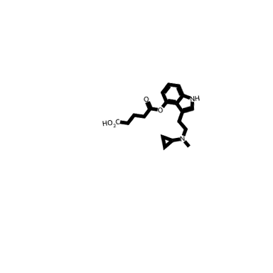 CN(CCc1c[nH]c2cccc(OC(=O)CCCC(=O)O)c12)C1CC1